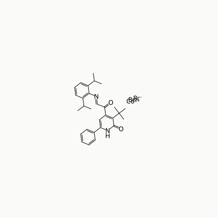 CC(C)c1cccc(C(C)C)c1N=CC(=O)c1cc(-c2ccccc2)[nH]c(=O)c1C(C)(C)C.[Br-].[Br-].[Co+2]